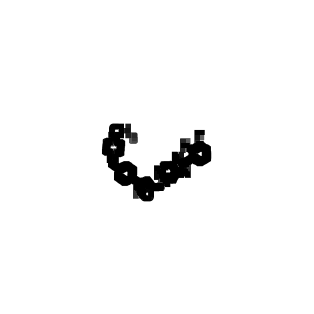 CN1CCN(Cc2ccc(-c3cc(Cn4cc5nc(-c6cccc(F)c6F)nc-5cn4)on3)cc2)CC1